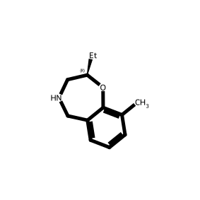 CC[C@@H]1CNCc2cccc(C)c2O1